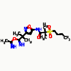 CC(=N)OC(=N)C(C)(C)c1cc(NC(=O)C(C)(C)S(=O)(=O)CCCC(F)(F)F)on1